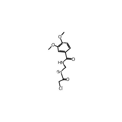 COc1ccc(C(=O)N[CH2][Sn][C](=O)CCl)cc1OC